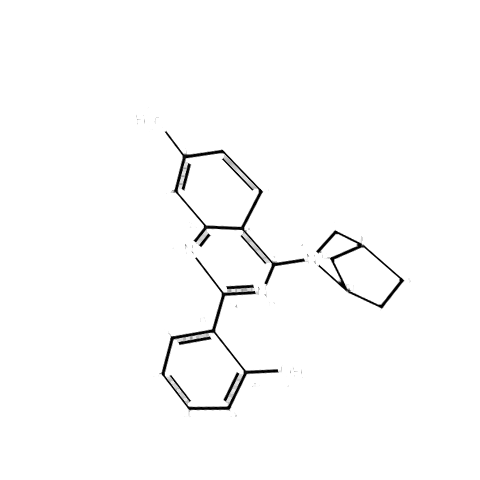 Cc1ccc2c(N3CC4CCC3C4)nc(-c3ccccc3O)nc2c1